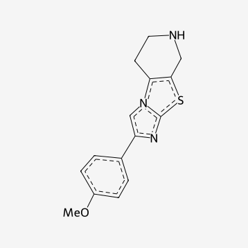 COc1ccc(-c2cn3c4c(sc3n2)CNCC4)cc1